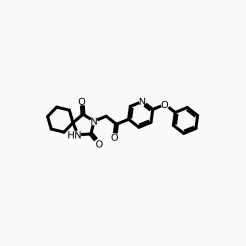 O=C(CN1C(=O)NC2(CCCCC2)C1=O)c1ccc(Oc2ccccc2)nc1